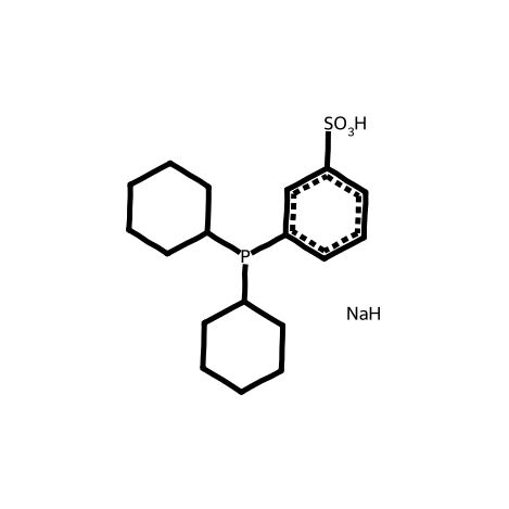 O=S(=O)(O)c1cccc(P(C2CCCCC2)C2CCCCC2)c1.[NaH]